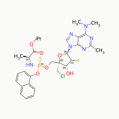 Cc1nc(N(C)C)c2ncn([C@@H]3O[C@](CCl)(CO[P@@](=S)(N[C@@H](C)C(=O)OC(C)C)Oc4cccc5ccccc45)[C@@H](O)[C@@H]3F)c2n1